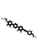 BCC1CCC(C#Cc2ccc(-c3ccc(-c4ccc(OCC)c(F)c4F)cc3)c(F)c2F)OC1